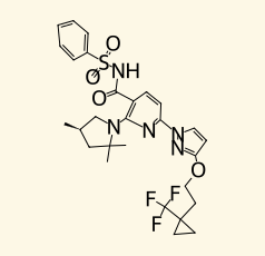 C[C@H]1CN(c2nc(-n3ccc(OCCC4(C(F)(F)F)CC4)n3)ccc2C(=O)NS(=O)(=O)c2ccccc2)C(C)(C)C1